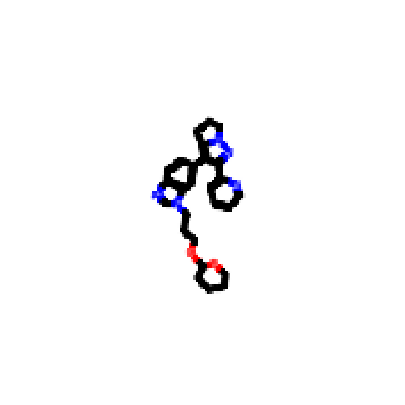 c1ccc(-c2nn3c(c2-c2ccc4ncn(CCCOC5CCCCO5)c4c2)CCC3)nc1